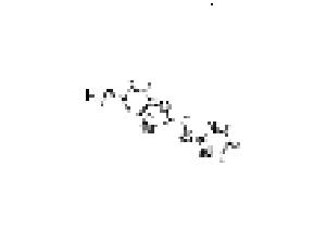 Cc1ccc(OCCSc2ncccn2)c(Br)c1